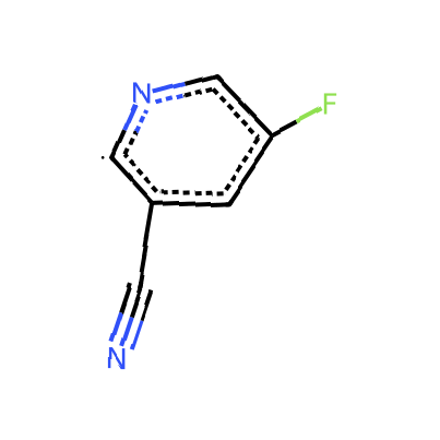 N#Cc1[c]ncc(F)c1